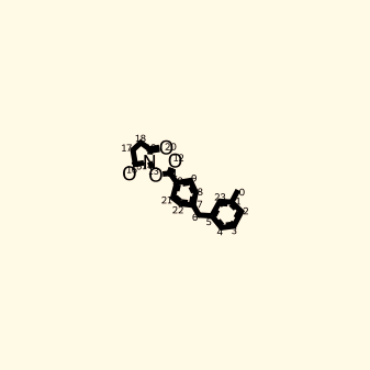 Cc1cccc(Cc2ccc(C(=O)ON3C(=O)CCC3=O)cc2)c1